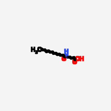 CCCCCCCCCCCCCCC(=O)NCCCCC(=O)O